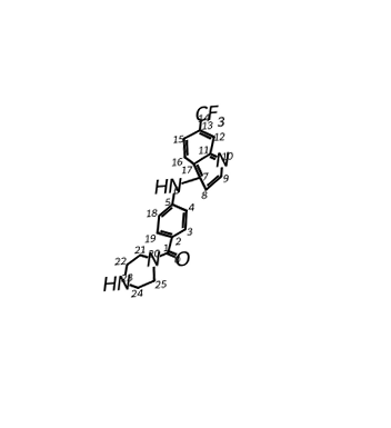 O=C(c1ccc(Nc2ccnc3cc(C(F)(F)F)ccc23)cc1)N1CCNCC1